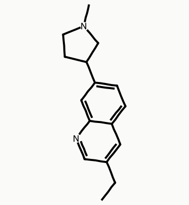 CCc1cnc2cc(C3CCN(C)C3)ccc2c1